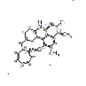 C=Nc1cc(C)c(OC)cc1/C(=N\CCl)NC1CCN(CC2C=CC=CC=C2)CC1